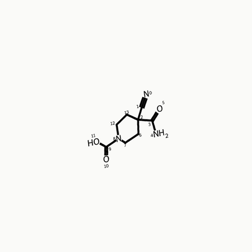 N#CC1(C(N)=O)CCN(C(=O)O)CC1